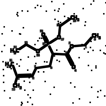 CCOC(=O)C(CCC=C(C)C)P(=O)(OCC)OCC